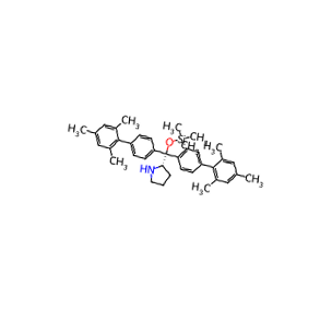 Cc1cc(C)c(-c2ccc(C(O[Si](C)(C)C)(c3ccc(-c4c(C)cc(C)cc4C)cc3)[C@@H]3CCCN3)cc2)c(C)c1